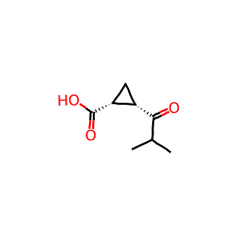 CC(C)C(=O)[C@H]1C[C@H]1C(=O)O